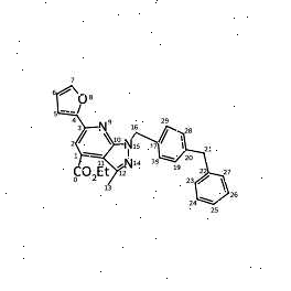 CCOC(=O)c1cc(-c2ccco2)nc2c1c(C)nn2Cc1ccc(Cc2ccccc2)cc1